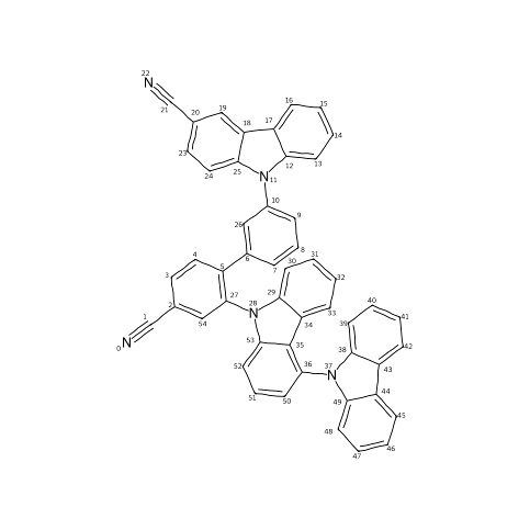 N#Cc1ccc(-c2cccc(-n3c4ccccc4c4cc(C#N)ccc43)c2)c(-n2c3ccccc3c3c(-n4c5ccccc5c5ccccc54)cccc32)c1